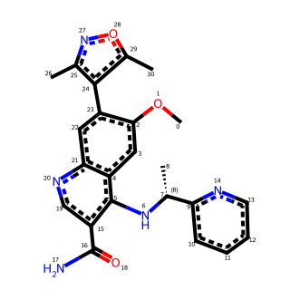 COc1cc2c(N[C@H](C)c3ccccn3)c(C(N)=O)cnc2cc1-c1c(C)noc1C